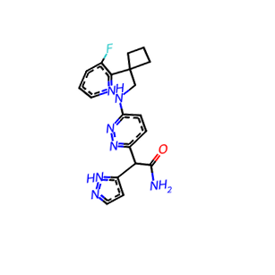 NC(=O)C(c1ccc(NCC2(c3ncccc3F)CCC2)nn1)c1ccn[nH]1